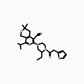 CCC1CN(c2nc(C(C)C)c3c(c2C#N)CC(C)(C)OC3)CCN1C(=O)Cc1cccs1